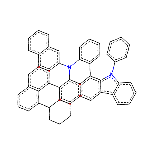 c1ccc(-n2c3ccccc3c3cccc(-c4ccccc4N(c4ccc5ccccc5c4)c4ccccc4-c4cccc5cccc(C6CCCCC6)c45)c32)cc1